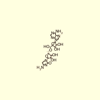 Nc1ccn([C@@H]2O[C@H]([CH]OC(O)[C@H]3O[C@@H](n4cnc5c(N)ncnc54)[C@H](O)[C@@H]3O)[C@@H](O)[C@H]2O)c(=O)n1